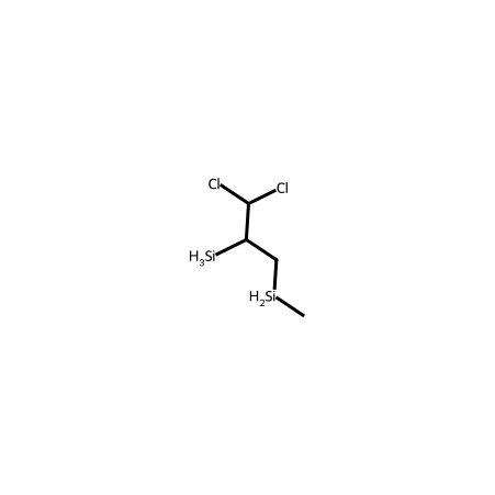 C[SiH2]CC([SiH3])C(Cl)Cl